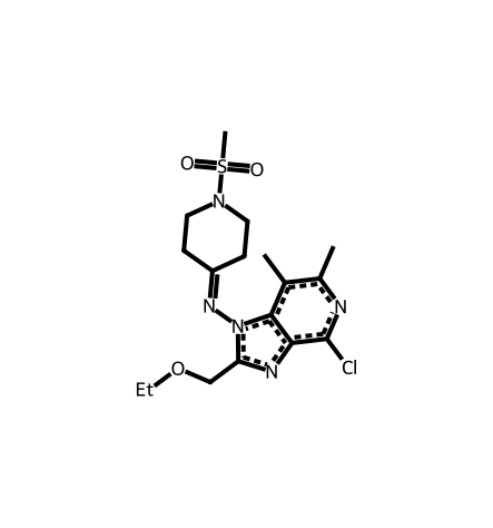 CCOCc1nc2c(Cl)nc(C)c(C)c2n1N=C1CCN(S(C)(=O)=O)CC1